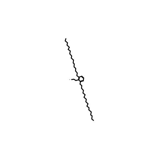 [CH2]CCc1c(CCCCCCCCCCCCCCCCCC)cccc1CCCCCCCCCCCCCCCCCC